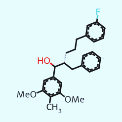 COc1cc(C(O)[C@H](CCCc2cccc(F)c2)Cc2cc[c]cc2)cc(OC)c1C